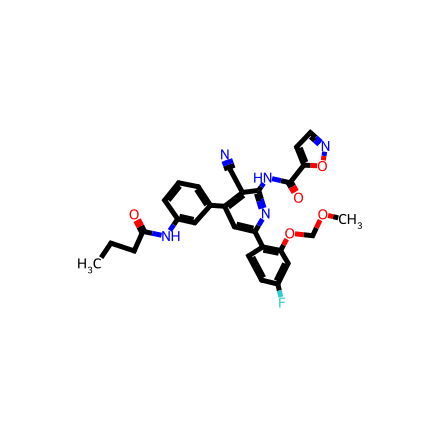 CCCC(=O)Nc1cccc(-c2cc(-c3ccc(F)cc3OCOC)nc(NC(=O)c3ccno3)c2C#N)c1